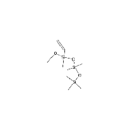 C=C[Si](C)(OC)O[Si](C)(C)O[Si](C)(C)C